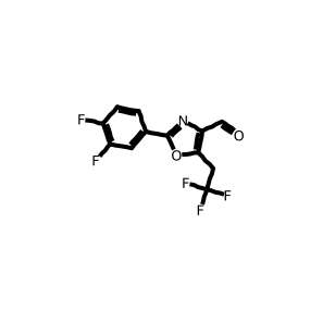 O=Cc1nc(-c2ccc(F)c(F)c2)oc1CC(F)(F)F